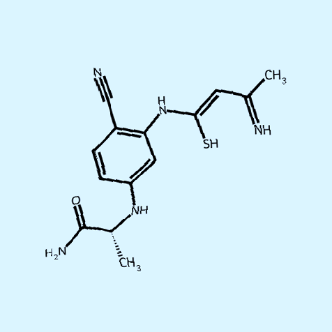 CC(=N)/C=C(\S)Nc1cc(N[C@H](C)C(N)=O)ccc1C#N